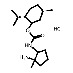 CC(C)[C@@H]1CC[C@@H](C)CC1OC(=O)NC1CCCC1(C)N.Cl